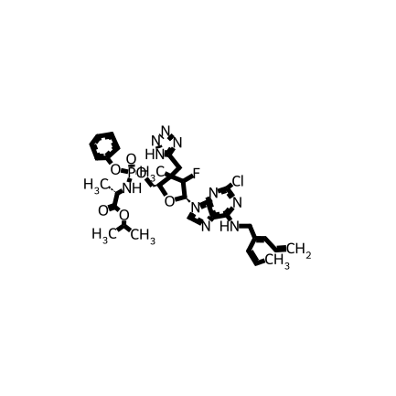 C=C/C=C(\C=C/C)CNc1nc(Cl)nc2c1ncn2[C@@H]1O[C@H](COP(=O)(N[C@@H](C)C(=O)OC(C)C)Oc2ccccc2)C(C)(Cc2nnn[nH]2)C1F